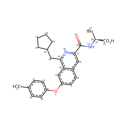 Cc1ccc(Oc2ccc3cc(C(=O)N[C@H](C(=O)O)C(C)(C)C)nc(CC4CCCC4)c3c2)cc1